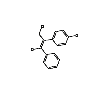 ClC/C(=C(\Cl)c1ccccc1)c1ccc(Cl)cc1